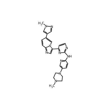 CN1CCN(c2ccc(Nc3nccc(-c4cnc5ccc(-c6cnn(C)c6)cn45)n3)nc2)CC1